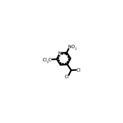 O=[N+]([O-])c1cc(C(Cl)Cl)cc(C(Cl)(Cl)Cl)n1